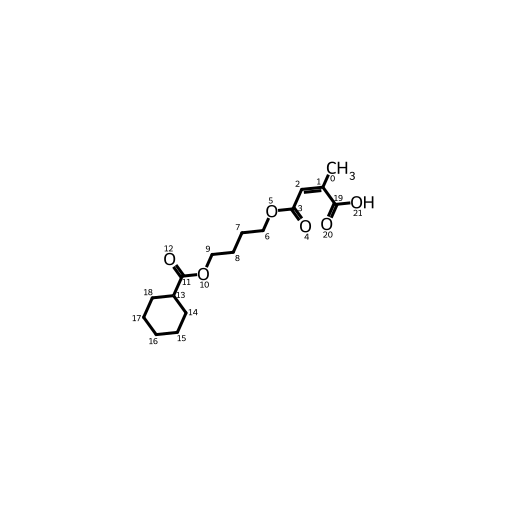 CC(=CC(=O)OCCCCOC(=O)C1CCCCC1)C(=O)O